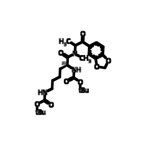 CC(C(=O)c1ccc2c(c1)OCO2)N(C)C(=O)[C@H](CCCCNC(=O)OC(C)(C)C)NC(=O)OC(C)(C)C